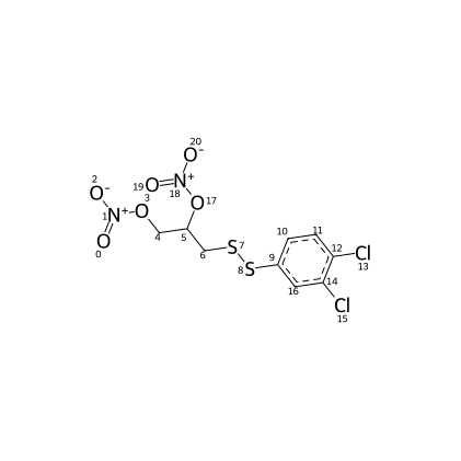 O=[N+]([O-])OCC(CSSc1ccc(Cl)c(Cl)c1)O[N+](=O)[O-]